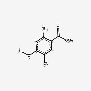 COC(=O)c1cc(C#N)c(OC(C)C)cc1N